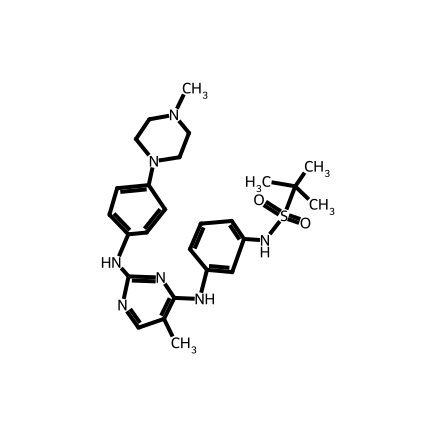 Cc1cnc(Nc2ccc(N3CCN(C)CC3)cc2)nc1Nc1cccc(NS(=O)(=O)C(C)(C)C)c1